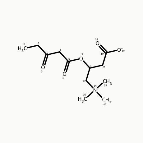 CCC(=O)CC(=O)OC(CC(=O)[O-])C[N+](C)(C)C